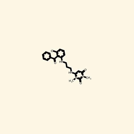 Cn1c(NCCCNc2cccc(Cl)c2C(=O)c2ccccc2)cc(=O)n(C)c1=O